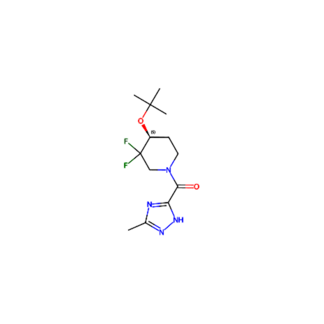 Cc1n[nH]c(C(=O)N2CC[C@H](OC(C)(C)C)C(F)(F)C2)n1